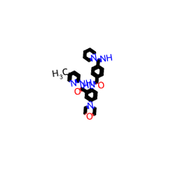 Cc1ccc(NC(=O)c2cc(N3CCOCC3)ccc2NC(=O)c2ccc(C(=N)N3CCCCC3)cc2)nc1